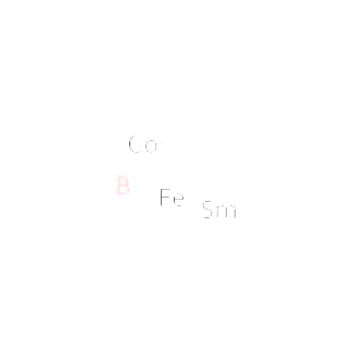 [B].[Co].[Fe].[Sm]